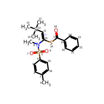 Cc1ccc(S(=O)(=O)N(C)/C(=C\[Si](C)(C)C)SC(=O)c2ccccc2)cc1